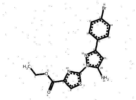 CCOC(=O)c1csc(-n2nc(-c3ccc(Br)cc3)cc2N)n1